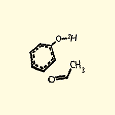 CC=O.[2H]Oc1ccccc1